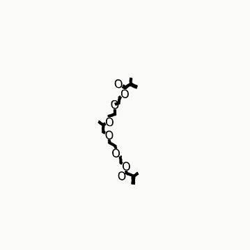 C=C(C)C(=O)OCCOCCOCC(C)OCCOCCOC(=O)C(=C)C